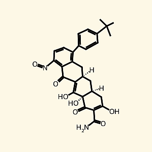 CC(C)(C)c1ccc(-c2ccc(N=O)c3c2C[C@H]2C[C@H]4CC(O)=C(C(N)=O)C(=O)[C@@]4(O)C(O)=C2C3=O)cc1